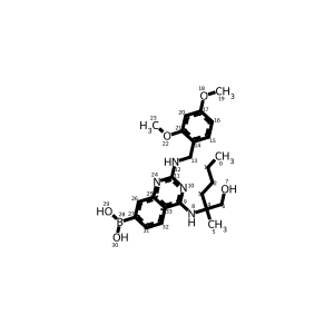 CCCCC(C)(CO)Nc1nc(NCc2ccc(OC)cc2OC)nc2cc(B(O)O)ccc12